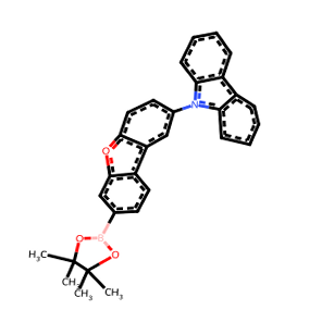 CC1(C)OB(c2ccc3c(c2)oc2ccc(-n4c5ccccc5c5ccccc54)cc23)OC1(C)C